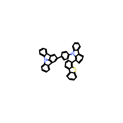 c1ccc2c(c1)sc1c(-c3cccc4c5ccccc5n(-c5ccc(-c6cc7c8ccccc8n8c9ccccc9c(c6)c78)cc5)c34)cccc12